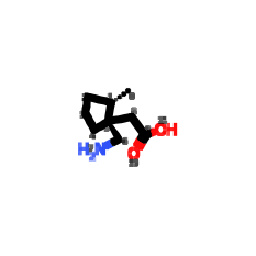 C[C@H]1CCC[C@@]1(CN)CC(=O)O